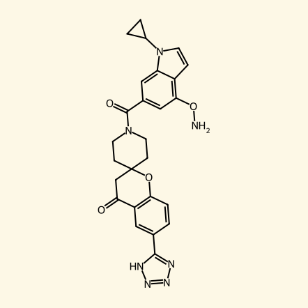 NOc1cc(C(=O)N2CCC3(CC2)CC(=O)c2cc(-c4nnn[nH]4)ccc2O3)cc2c1ccn2C1CC1